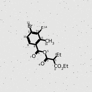 CCOC(=O)C(CC)C(=O)OC(=O)c1ccc(Br)c(F)c1C